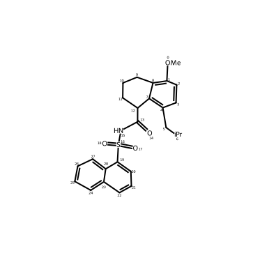 COc1ccc(CC(C)C)c2c1CCCC2C(=O)NS(=O)(=O)c1cccc2ccccc12